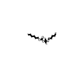 CCCCCCOC(=O)OC(C)(C)OOCCCC